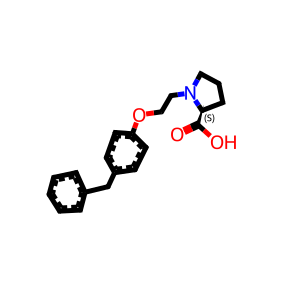 O=C(O)[C@@H]1CCCN1CCOc1ccc(Cc2ccccc2)cc1